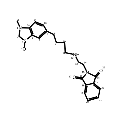 CN1C[S+]([O-])c2cc(CCCCNCCN3C(=O)c4ccccc4C3=O)ccc21